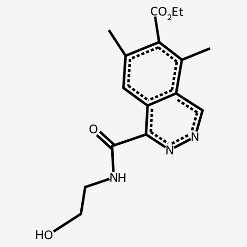 CCOC(=O)c1c(C)cc2c(C(=O)NCCO)nncc2c1C